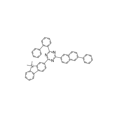 C[Si]1(C)c2ccccc2-c2ccc(-c3nc(-c4ccc5cc(-c6ccccc6)ccc5c4)nc(-c4ccccc4-c4ccccc4)n3)cc21